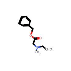 CN(CC=O)CC(=O)OCc1ccccc1